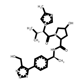 Cc1cn([C@H](C(=O)N2CC(O)CC2C(=O)N[C@@H](C)c2ccc(-c3snnc3CO)cc2)C(C)C)cn1